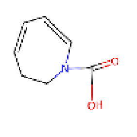 O=C(O)N1C=CC=CCC1